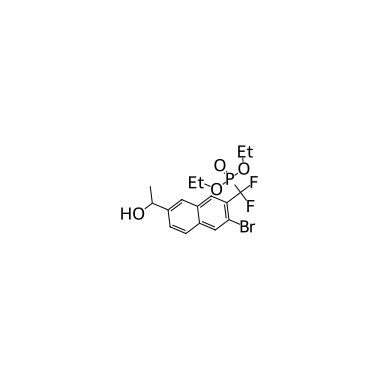 CCOP(=O)(OCC)C(F)(F)c1cc2cc(C(C)O)ccc2cc1Br